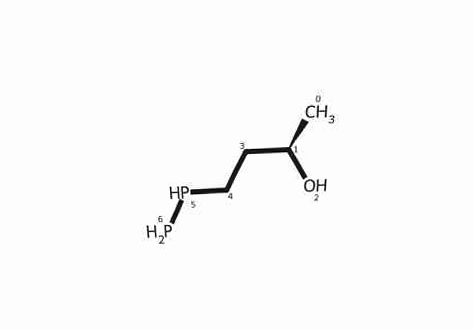 C[C@@H](O)CCPP